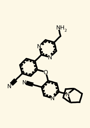 N#Cc1ccc(-c2ncc(CN)cn2)c(Oc2cc(N3C4CCC3CC4)ncc2C#N)c1